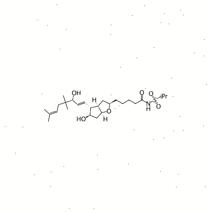 CC(C)=CCC(C)(C)C(O)/C=C/[C@@H]1[C@H]2C[C@@H](CCCCC(=O)NS(=O)(=O)C(C)C)O[C@H]2C[C@H]1O